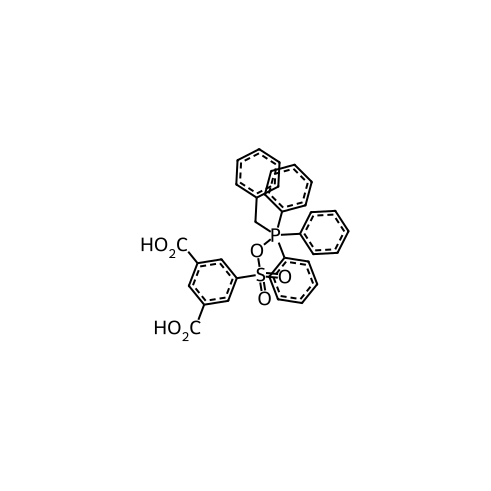 O=C(O)c1cc(C(=O)O)cc(S(=O)(=O)OP(Cc2ccccc2)(c2ccccc2)(c2ccccc2)c2ccccc2)c1